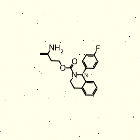 C=C(N)CCOC(=O)N1CCc2ccccc2[C@@H]1c1ccc(F)cc1